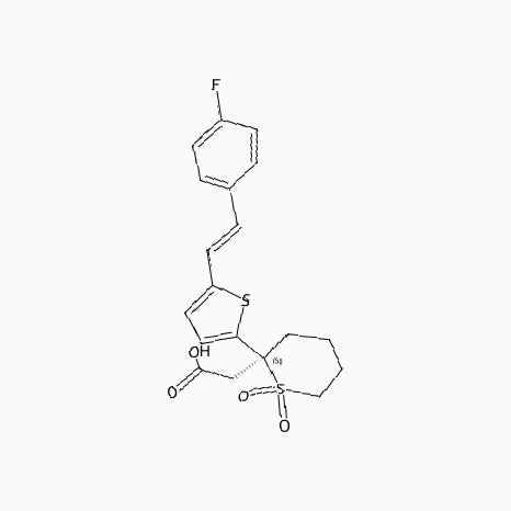 O=C(O)C[C@]1(c2ccc(C=Cc3ccc(F)cc3)s2)CCCCS1(=O)=O